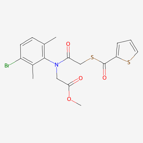 COC(=O)CN(C(=O)CSC(=O)c1cccs1)c1c(C)ccc(Br)c1C